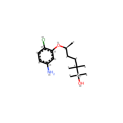 C[C@@H](CCC(C)(C)[Si](C)(C)O)Oc1cc(N)ccc1Cl